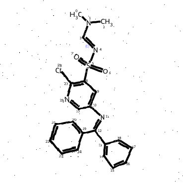 CN(C)/C=N/S(=O)(=O)c1cc(N=C(c2ccccc2)c2ccccc2)cnc1Cl